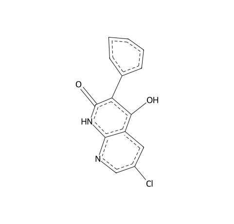 O=c1[nH]c2ncc(Cl)cc2c(O)c1-c1ccccc1